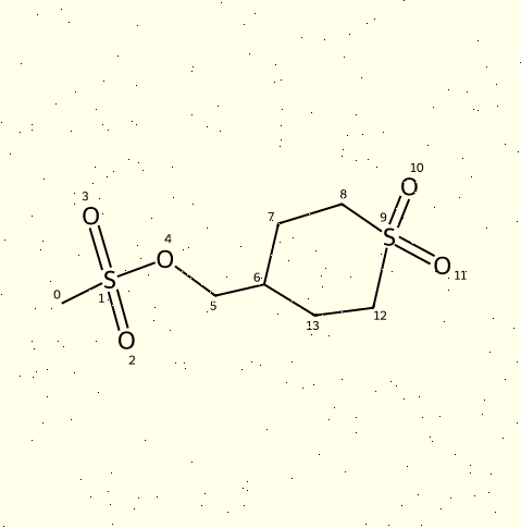 CS(=O)(=O)OCC1CCS(=O)(=O)CC1